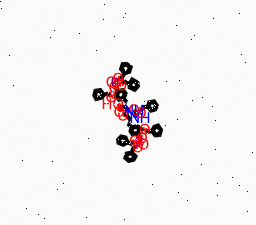 O=C(N[C@@H](Cc1ccc(OP(=O)(OCc2ccccc2)OCc2ccccc2)c(OCc2ccccc2)c1)C(=O)N[C@@H](Cc1ccc(OP(=O)(OCc2ccccc2)OCc2ccccc2)c(OCc2ccccc2)c1)C(=O)O)OCc1ccccc1